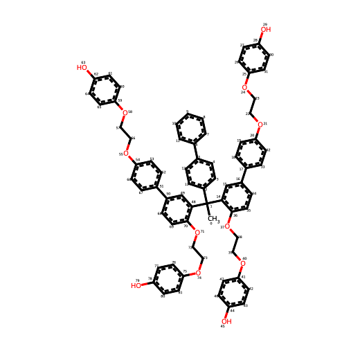 CC(c1ccc(-c2ccccc2)cc1)(c1cc(-c2ccc(OCCOc3ccc(O)cc3)cc2)ccc1OCCOc1ccc(O)cc1)c1cc(-c2ccc(OCCOc3ccc(O)cc3)cc2)ccc1OCCOc1ccc(O)cc1